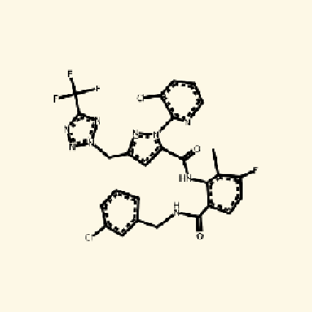 Cc1c(F)ccc(C(=O)NCc2cccc(Cl)c2)c1NC(=O)c1cc(Cn2nnc(C(F)(F)F)n2)nn1-c1ncccc1Cl